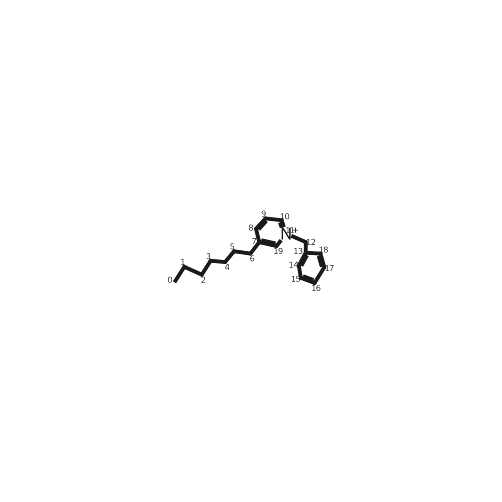 CCCCCCCc1ccc[n+](Cc2ccccc2)c1